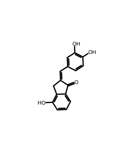 O=C1C(=Cc2ccc(O)c(O)c2)Cc2c(O)cccc21